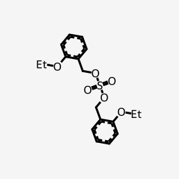 CCOc1ccccc1COS(=O)(=O)OCc1ccccc1OCC